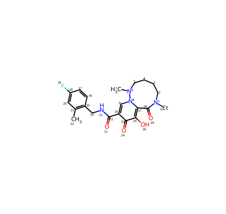 CCN1CCCCN(C)n2cc(C(=O)NCc3ccc(F)cc3C)c(=O)c(O)c2C1=O